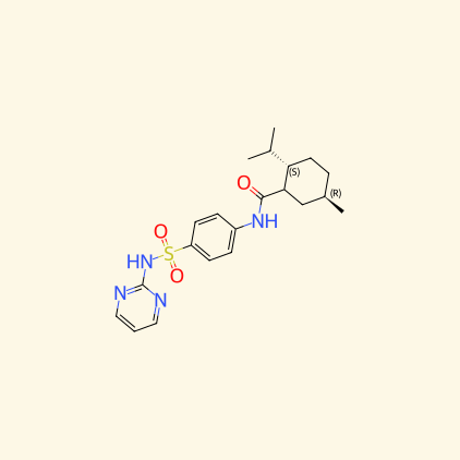 CC(C)[C@@H]1CC[C@@H](C)CC1C(=O)Nc1ccc(S(=O)(=O)Nc2ncccn2)cc1